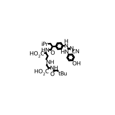 CC(C)CC(C(=O)NC(CCNCC(NC(=O)CC(C)(C)C)C(=O)O)C(=O)O)c1ccc(NC(=NC#N)Nc2ccc(O)cc2)cc1